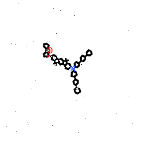 CC1(C)C2=CC3c4ccc(-c5cccc6c5oc5ccccc56)cc4C(C)(C)C3C=C2c2ccc(N(c3ccc(-c4ccc(-c5ccccc5)cc4)cc3)c3ccc(-c4ccc(-c5ccccc5)cc4)cc3)cc21